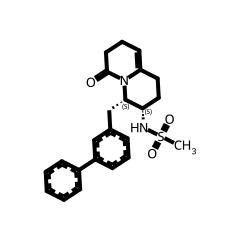 CS(=O)(=O)N[C@H]1CCC2=CCCC(=O)N2[C@H]1Cc1cccc(-c2ccccc2)c1